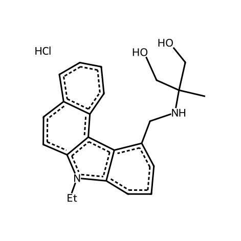 CCn1c2cccc(CNC(C)(CO)CO)c2c2c3ccccc3ccc21.Cl